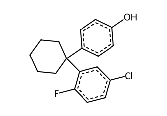 Oc1ccc(C2(c3cc(Cl)ccc3F)CCCCC2)cc1